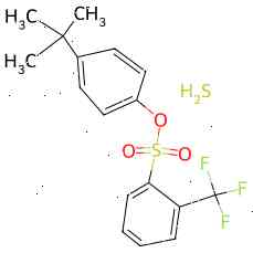 CC(C)(C)c1ccc(OS(=O)(=O)c2ccccc2C(F)(F)F)cc1.S